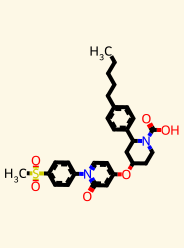 CCCCCc1ccc(C2CC(Oc3ccn(-c4ccc(S(C)(=O)=O)cc4)c(=O)c3)CCN2C(=O)O)cc1